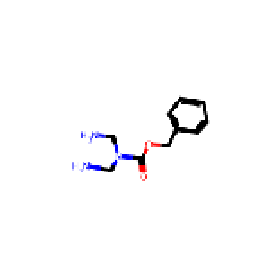 NCN(CN)C(=O)OCc1ccccc1